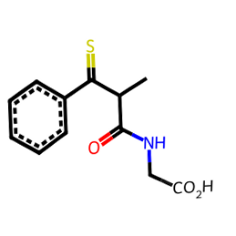 CC(C(=O)NCC(=O)O)C(=S)c1ccccc1